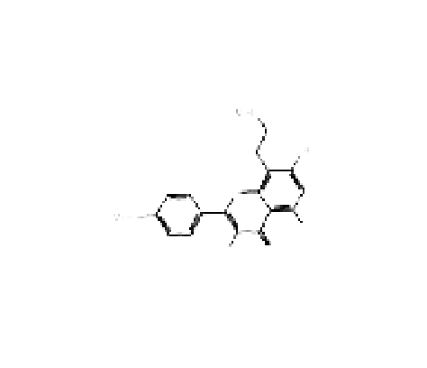 CNCCc1c(O)cc(O)c2c(=O)c(O)c(-c3ccc(OC)cc3)oc12